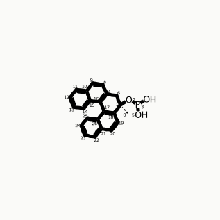 C[C@@]1(OP(O)O)Cc2ccc3ccccc3c2-c2c1ccc1ccccc21